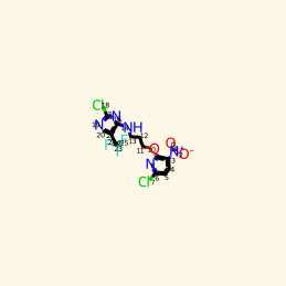 O=[N+]([O-])c1ccc(Cl)nc1OCCCNc1nc(Cl)ncc1C(F)(F)F